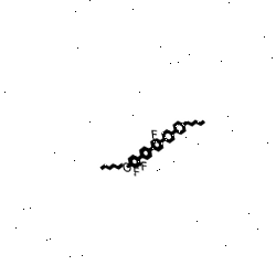 CCCCCCOc1ccc(-c2ccc(-c3ccc(C4CCC(C5CCC(CCCCC)CC5)CC4)c(F)c3)cc2)c(F)c1F